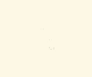 CC(C(N)=O)=C(C)c1ccco1